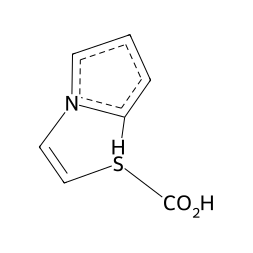 O=C(O)[SH]1C=Cn2cccc21